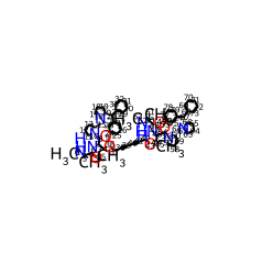 CN[C@@H](C)C(=O)N[C@H](C(=O)N1CCC[C@H]1CN1CCC[C@H]1C(c1ccccc1)c1ccccc1)[C@@H](C)OCC#CC#CCO[C@H](C)[C@H](NC(=O)[C@H](C)NC)C(=O)N1CCC[C@H]1CN1CCC[C@H]1C(c1ccccc1)c1ccccc1